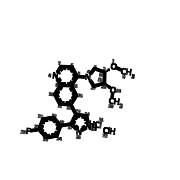 CO[C@H]1CN(c2ccnc3ccc(-c4c[nH]nc4-c4ccc(F)cc4)cc23)C[C@@H]1OC.Cl.Cl